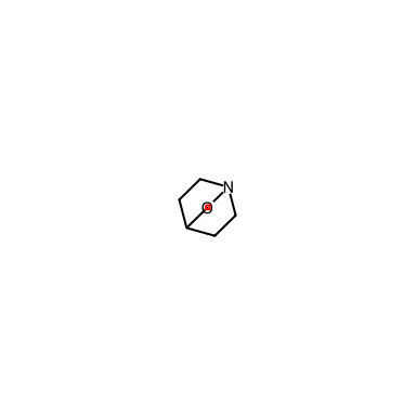 C1CN2CCC1CO2